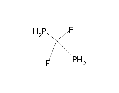 FC(F)(P)P